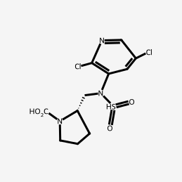 O=C(O)N1CCC[C@H]1CN(c1cc(Cl)cnc1Cl)[SH](=O)=O